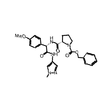 COc1ccc([C@H](NC(=O)[C@@H]2CCCN2C(=O)OCc2ccccc2)C(=O)Nc2cnn(C)c2)cc1